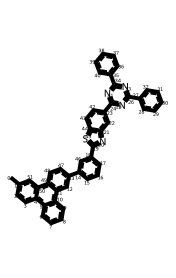 Cc1ccc2c3ccccc3c3cc(-c4cccc(-c5nc6cc(-c7nc(-c8ccccc8)nc(-c8ccccc8)n7)ccc6s5)c4)ccc3c2c1